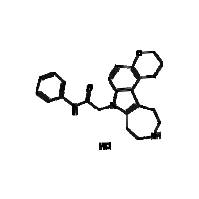 Cl.O=C(Cn1c2c(c3c4c(ccc31)OCCC4)CCNCC2)Nc1ccccc1